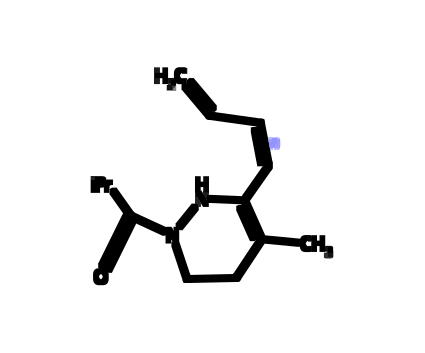 C=C/C=C\C1=C(C)CCN(C(=O)C(C)C)N1